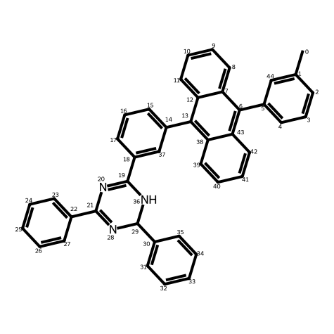 Cc1cccc(-c2c3ccccc3c(-c3cccc(C4=NC(c5ccccc5)=NC(c5ccccc5)N4)c3)c3ccccc23)c1